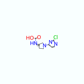 O=C(O)N[C@H]1CCN(c2ccnc(Cl)n2)C1